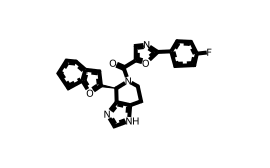 O=C(c1cnc(-c2ccc(F)cc2)o1)N1CCc2[nH]cnc2[C@H]1c1cc2ccccc2o1